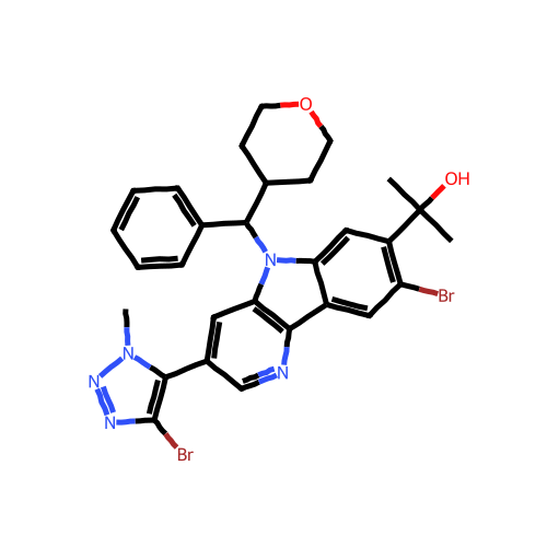 Cn1nnc(Br)c1-c1cnc2c3cc(Br)c(C(C)(C)O)cc3n(C(c3ccccc3)C3CCOCC3)c2c1